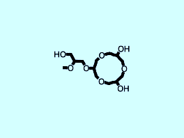 COC(CO)COC1COCC(O)COCC(O)COC1